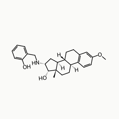 COc1ccc2c(c1)CC[C@@H]1[C@@H]2CC[C@]2(C)[C@H](O)[C@H](NCc3ccccc3O)C[C@@H]12